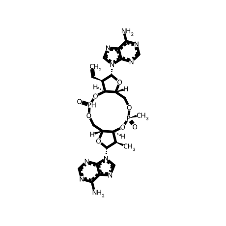 C=C[C@@H]1[C@@H]2O[PH](=O)OC[C@H]3O[C@@H](n4cnc5c(N)ncnc54)[C@H](C)[C@@H]3O[P@@](C)(=O)OC[C@H]2O[C@H]1n1cnc2c(N)ncnc21